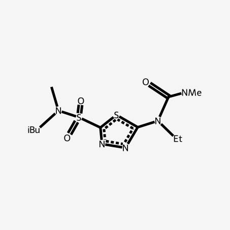 CCC(C)N(C)S(=O)(=O)c1nnc(N(CC)C(=O)NC)s1